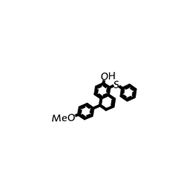 COc1ccc(C2CC=Cc3c2ccc(O)c3Sc2ccccc2)cc1